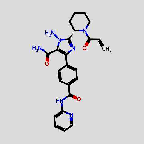 C=CC(=O)N1CCCC[C@H]1c1nc(-c2ccc(C(=O)Nc3ccccn3)cc2)c(C(N)=O)n1N